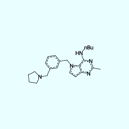 CCCCNc1nc(C)nc2ccn(Cc3cccc(CN4CCCC4)c3)c12